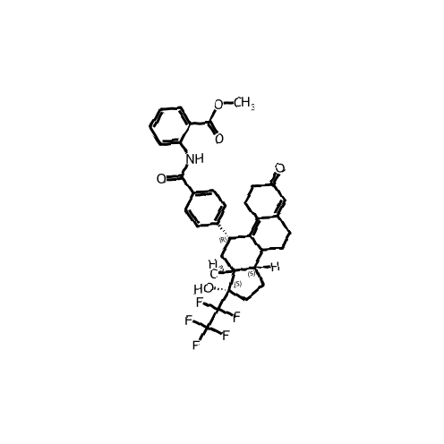 COC(=O)c1ccccc1NC(=O)c1ccc([C@H]2CC3(C)[C@@H](CC[C@@]3(O)C(F)(F)C(F)(F)F)C3CCC4=CC(=O)CCC4=C32)cc1